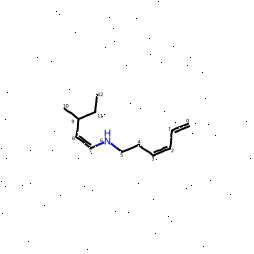 C=C/C=C\CCN/C=C\C(C)CC